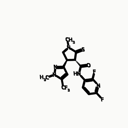 CN1C[C@H](c2cc(C(F)(F)F)n(C)n2)[C@@H](C(=O)Nc2ccc(F)nc2F)C1=S